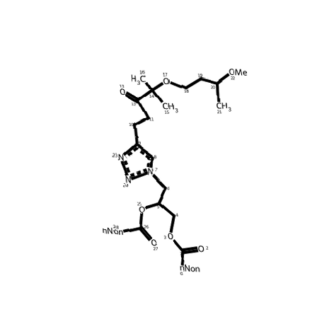 CCCCCCCCCC(=O)OCC(Cn1cc(CCC(=O)C(C)(C)OCCC(C)OC)nn1)OC(=O)CCCCCCCCC